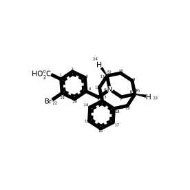 O=C(O)c1ccc(CN2C[C@@H]3CC[C@H]2Cc2ccccc2C3)cc1Br